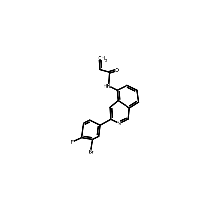 C=CC(=O)Nc1cccc2cnc(-c3ccc(F)c(Br)c3)cc12